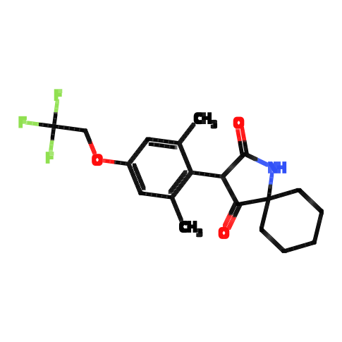 Cc1cc(OCC(F)(F)F)cc(C)c1C1C(=O)NC2(CCCCC2)C1=O